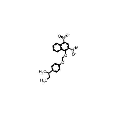 CCC(C)c1ccc(OCOc2c([N+](=O)[O-])cc([N+](=O)[O-])c3ccccc23)cc1